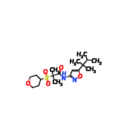 CC(C)C(C)(C)c1cc(NC(=O)C(C)(C)S(=O)(=O)C2CCOCC2)no1